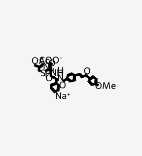 COc1ccc(C(=O)C=Cc2ccc(C(=O)NC(C(=O)N[C@@H]3C(=O)N4C(C(=O)[O-])=C(COC(C)=O)CS[C@H]34)c3ccccc3)cc2)cc1.[Na+]